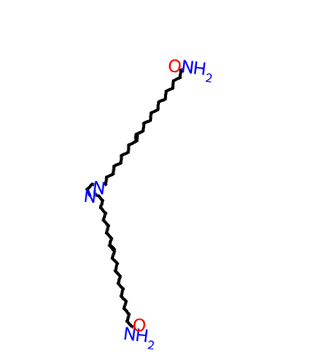 NC(=O)CCCCCCCCCCCC=CCCCCCCCCN1CCN=C1CCCCCCCC=CCCCCCCCCCCCC(N)=O